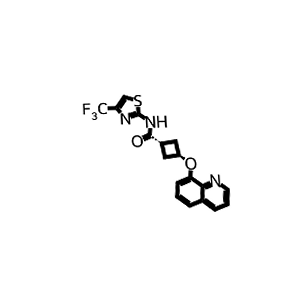 O=C(Nc1nc(C(F)(F)F)cs1)[C@H]1C[C@H](Oc2cccc3cccnc23)C1